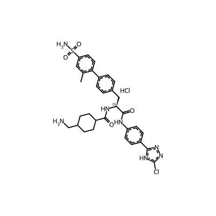 Cc1cc(S(N)(=O)=O)ccc1-c1ccc(C[C@H](NC(=O)C2CCC(CN)CC2)C(=O)Nc2ccc(-c3nnc(Cl)[nH]3)cc2)cc1.Cl